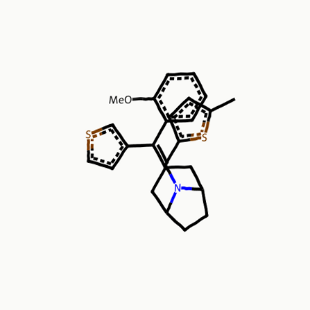 COc1ccccc1C(=C1CC2CCC(C1)N2Cc1ccc(C)s1)c1ccsc1